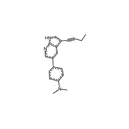 CCC#Cc1c[nH]c2ncc(-c3ccc(N(C)C)cc3)cc12